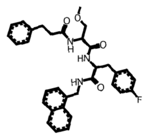 COCC(NC(=O)CCc1ccccc1)C(=O)NC(Cc1ccc(F)cc1)C(=O)NCc1cccc2ccccc12